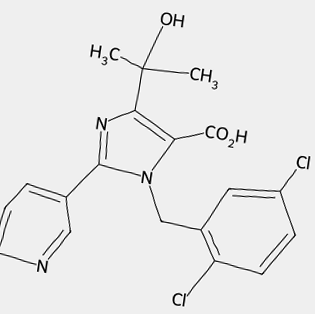 CC(C)(O)c1nc(-c2cccnc2)n(Cc2cc(Cl)ccc2Cl)c1C(=O)O